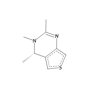 CC1=Nc2cscc2[C@H](C)N1C